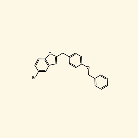 Brc1ccc2oc(Cc3ccc(OCc4ccccc4)cc3)cc2c1